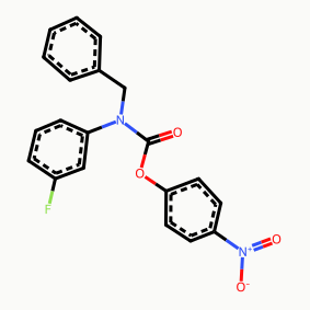 O=C(Oc1ccc([N+](=O)[O-])cc1)N(Cc1ccccc1)c1cccc(F)c1